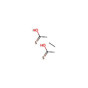 CC.CC(O)=S.CC(O)=S